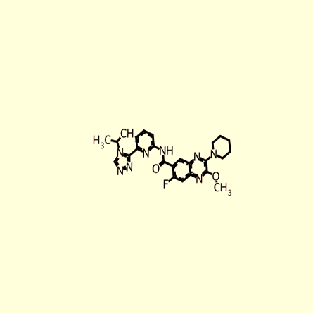 COc1nc2cc(F)c(C(=O)Nc3cccc(-c4nncn4C(C)C)n3)cc2nc1N1CCCCC1